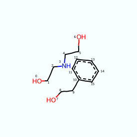 OCCNCCO.OCCc1ccccc1